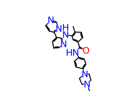 Cc1ccc(C(=O)Nc2ccc(N3CCN(C)CC3)cc2)cc1Nc1ncccc1-c1ccncn1